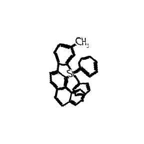 Cc1ccc2c(c1)[Si](c1ccccc1)(c1ccccc1)c1c-2ccc2ccc3ccccc3c12